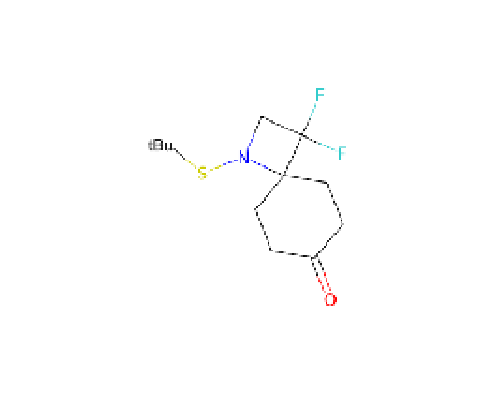 CC(C)(C)SN1CC(F)(F)C12CCC(=O)CC2